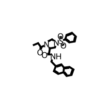 CCC(=O)N1CCN(S(=O)(=O)c2ccccc2)CC1C(=O)NCc1ccc2ccccc2c1